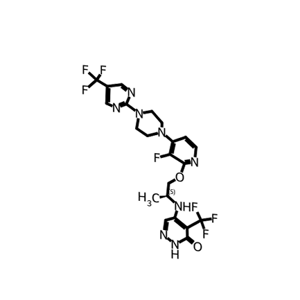 C[C@@H](COc1nccc(N2CCN(c3ncc(C(F)(F)F)cn3)CC2)c1F)Nc1cn[nH]c(=O)c1C(F)(F)F